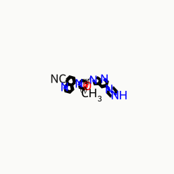 C[C@@H]1CN(c2ccc(C#N)c3ncccc23)C[C@H](CN2Cc3cc(N4CCNCC4)cnc3C2)O1